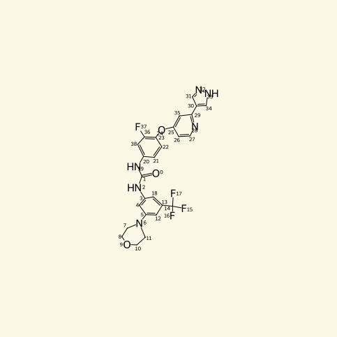 O=C(Nc1cc(N2CCOCC2)cc(C(F)(F)F)c1)Nc1ccc(Oc2ccnc(-c3cn[nH]c3)c2)c(F)c1